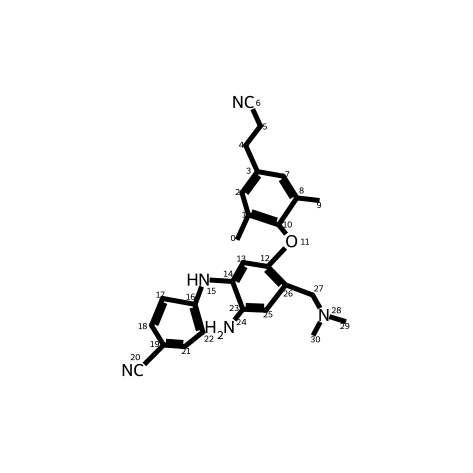 Cc1cc(CCC#N)cc(C)c1Oc1cc(Nc2ccc(C#N)cc2)c(N)cc1CN(C)C